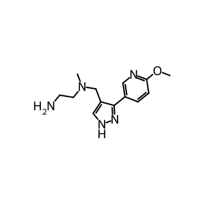 COc1ccc(-c2n[nH]cc2CN(C)CCN)cn1